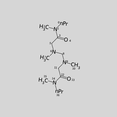 CCCN(C)C(=O)CN(C)CN(C)CC(=O)N(C)CCC